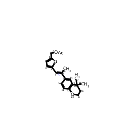 CC(=O)OCc1ccc(/C=C(\C)c2ccc3c(c2)C(C)(C)CCO3)o1